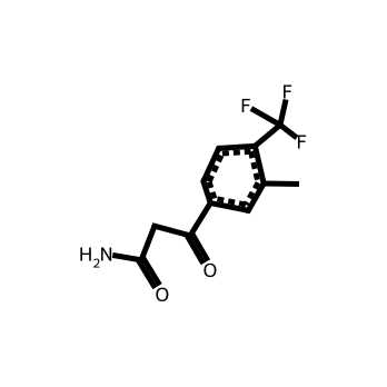 Cc1cc(C(=O)CC(N)=O)ccc1C(F)(F)F